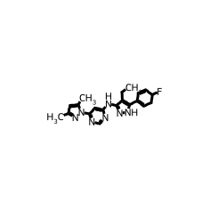 CCc1c(Nc2cc(-n3nc(C)cc3C)ncn2)n[nH]c1C1=CCC(F)C=C1